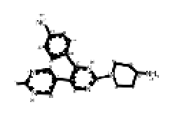 Cc1ncc(-c2cnc(N3CCC(N)CC3)nc2-c2ccc(C#N)cc2)cn1